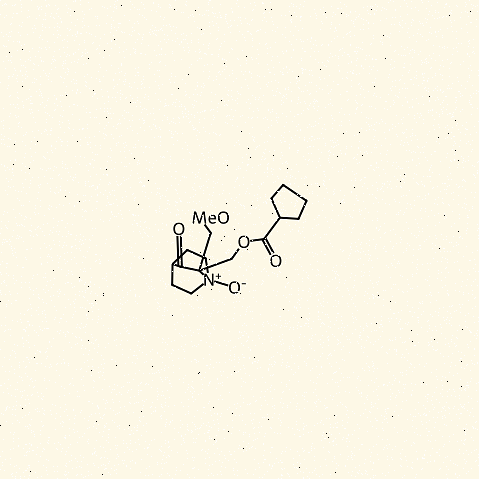 COCC1(COC(=O)C2CCCC2)C(=O)C2CC[N+]1([O-])CC2